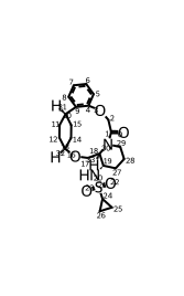 O=C1COc2ccccc2[C@H]2CC[C@H](CC2)OC[C@H]2[C@@H](NS(=O)(=O)C3CC3)CCCN12